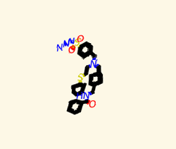 [N-]=[N+]=NS(=O)(=O)c1ccc(CN(CCSc2ccccc2)Cc2ccc(CNC(=O)c3ccccc3)cc2)cc1